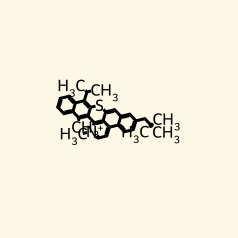 Cc1c2c(c(C(C)C)c3ccccc13)Sc1cc3cc(CC(C)(C)C)ccc3c3cc[n+](C)c-2c13